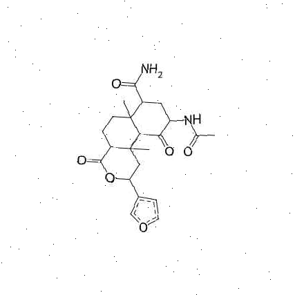 CC(=O)NC1CC(C(N)=O)C2(C)CCC3C(=O)OC(c4ccoc4)CC3(C)C2C1=O